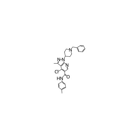 Cc1ccc(NC(=O)c2cnc3c(c(C)nn3C3CCN(Cc4ccccc4)CC3)c2Cl)cc1